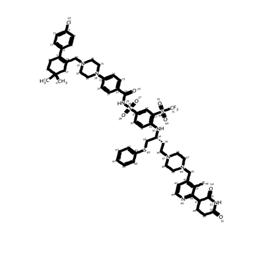 CC1(C)CCC(c2ccc(Cl)cc2)=C(CN2CCN(c3ccc(C(=O)NS(=O)(=O)c4ccc(N[C@H](CCN5CCN(Cc6ccnc(C7CCC(=O)NC7=O)c6F)CC5)CSc5ccccc5)c(S(=O)(=O)C(F)(F)F)c4)cc3)CC2)C1